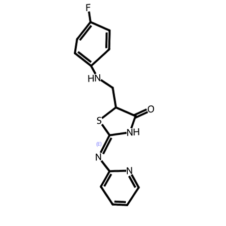 O=C1N/C(=N\c2ccccn2)SC1CNc1ccc(F)cc1